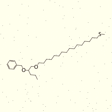 CCCC(COCCCCCCCCCCCCCCCCSC)OCc1ccccc1